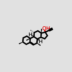 C#CC1(O)CCC2[C@H]3[C@H]([C@H](C)C[C@@]21C)[C@@]1(C)CC[C@H](C)CC1=C[C@@H]3C